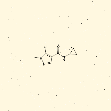 Cn1ncc(C(=O)NC2CC2)c1Cl